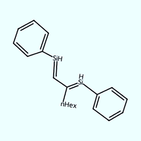 CCCCCCC(C=[SiH]c1ccccc1)=[SiH]c1ccccc1